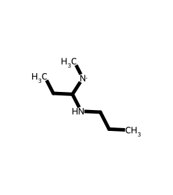 CCCNC(CC)[N]C